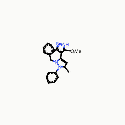 COc1[nH]nc(C)c1C1=CC(C)N(c2ccccc2)N1Cc1ccccc1